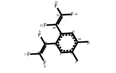 Cc1cc(C(F)=C(F)F)c(C(F)=C(F)F)cc1C